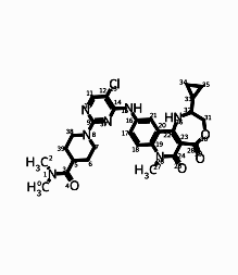 CN(C)C(=O)C1CCN(c2ncc(Cl)c(Nc3ccc4c(c3)c3c(c(=O)n4C)C(=O)OCC(C4CC4)N3)n2)CC1